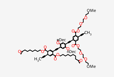 CC#Cc1cc(C(=O)OCCOCCOCCOC)c(C#Cc2cc(OCCCCCCCCCC)c(C#CC3=CC(C(=O)OCCCCCCCC4CO4)C(C#CC)C=C3C(=O)OCCCCCCCCC3CO3)cc2OCCCCCCCCCC)cc1C(=O)OCCOCCOCCOC